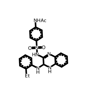 CCc1ccccc1NC1Nc2ccccc2N=C1NS(=O)(=O)c1ccc(NC(C)=O)cc1